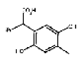 Cc1cc(O)c(C(C(=O)O)C(C)C)cc1O